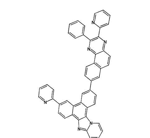 c1ccc(-c2nc3c(ccc4cc(-c5ccc6c(c5)c5cc(-c7ccccn7)ccc5c5nc7ccccn7c65)ccc43)nc2-c2ccccn2)cc1